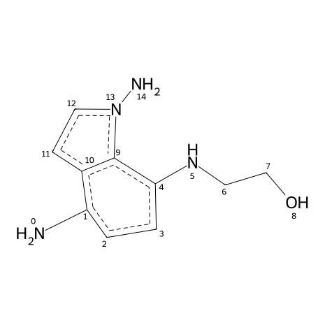 Nc1ccc(NCCO)c2c1ccn2N